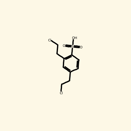 O=S(=O)(O)c1ccc(CCCl)cc1CCCl